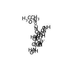 CC(C)c1ccccc1[C@@H]1CCCN1C1CC2(CCN(c3ccc(C(=O)NS(=O)(=O)c4cc5c(c([N+](=O)[O-])c4)N[C@H](CN4C[C@H]6C[C@@H]4CO6)CO5)c(N4c5cc6cc[nH]c6nc5O[C@@H]5COC[C@H]54)c3)CC2)C1